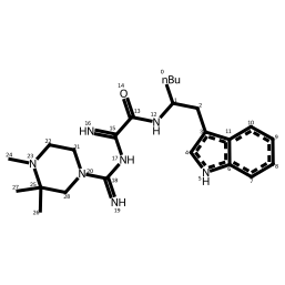 CCCCC(Cc1c[nH]c2ccccc12)NC(=O)C(=N)NC(=N)N1CCN(C)C(C)(C)C1